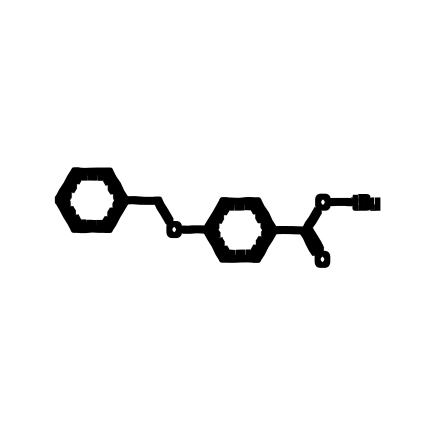 CC(C)(C)OC(=O)c1ccc(OCc2ccccc2)cc1